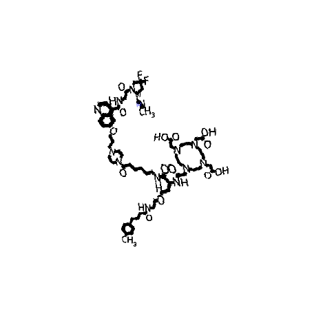 C/N=C/[C@H]1CC(F)(F)CN1C(=O)CNC(=O)c1ccnc2ccc(OCCCN3CCN(C(=O)CCCCCNC(=O)C(CCOCCNC(=O)CCCc4ccc(C)cc4)NC(=O)CN4CCN(CC(=O)O)CCN(CC(=O)O)CCN(CC(=O)O)CC4)CC3)cc12